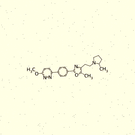 COc1ccc(-c2ccc(-c3nc(CCN4CCCC4C)c(C)o3)cc2)nn1